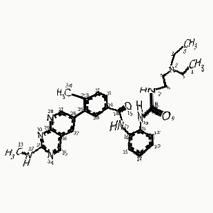 CCN(CC)CCNC(=O)Nc1ccccc1NC(=O)c1ccc(C)c(-c2cnc3nc(NC)ncc3c2)c1